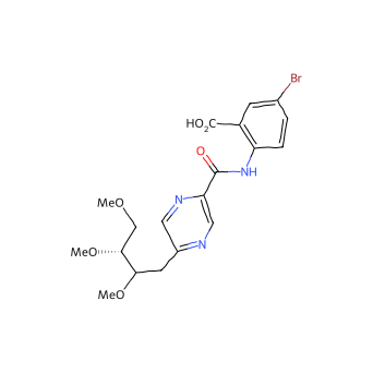 COC[C@@H](OC)C(Cc1cnc(C(=O)Nc2ccc(Br)cc2C(=O)O)cn1)OC